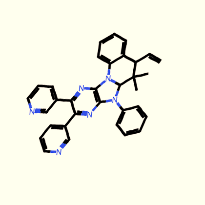 C=CC1c2ccccc2N2c3nc(-c4cccnc4)c(-c4cccnc4)nc3N(c3ccccc3)C2C1(C)C